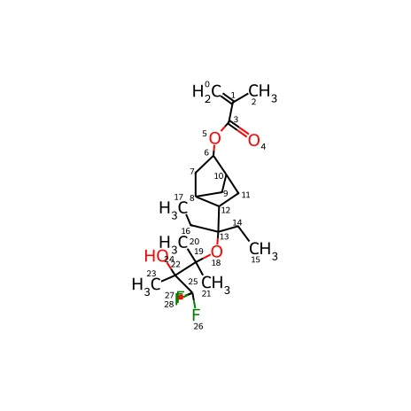 C=C(C)C(=O)OC1CC2CC1CC2C(CC)(CC)OC(C)(C)C(C)(O)C(F)(F)F